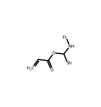 C=CC(=O)OC(NCC)C(C)C